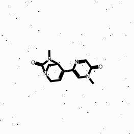 CN1C(=O)N2CC=C(c3cn(C)c(=O)cn3)C1C2